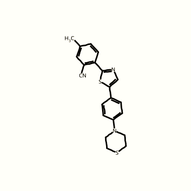 Cc1ccc(-c2ncc(-c3ccc(N4CCSCC4)cc3)s2)c(C#N)c1